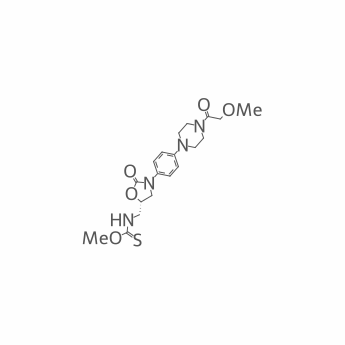 COCC(=O)N1CCN(c2ccc(N3C[C@H](CNC(=S)OC)OC3=O)cc2)CC1